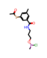 CC(=O)Sc1cc(C)cc(C(=O)NCCCOP(C)Cl)c1